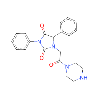 O=C(CN1C(=O)N(c2ccccc2)C(=O)C1c1ccccc1)N1CCNCC1